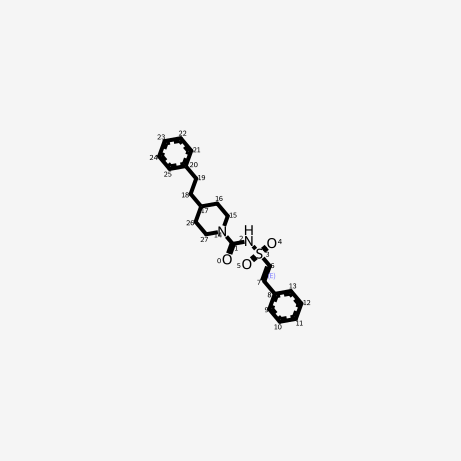 O=C(NS(=O)(=O)/C=C/c1ccccc1)N1CCC(CCc2ccccc2)CC1